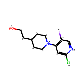 OCCC1CCN(c2cc(Cl)ncc2I)CC1